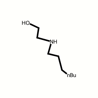 [CH2]CCCCCCNCCO